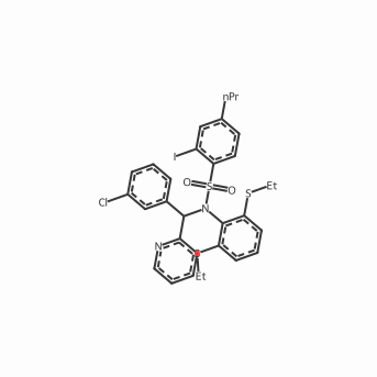 CCCc1ccc(S(=O)(=O)N(c2c(SCC)cccc2SCC)C(c2cccc(Cl)c2)c2ccccn2)c(I)c1